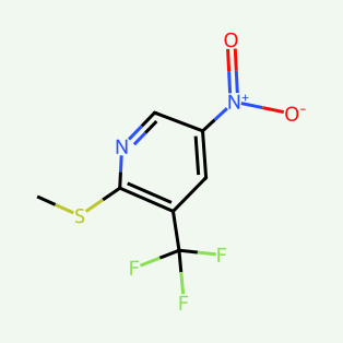 CSc1ncc([N+](=O)[O-])cc1C(F)(F)F